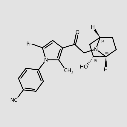 Cc1c(C(=O)CN2[C@H]3CC[C@@H]2[C@H](O)C3)cc(C(C)C)n1-c1ccc(C#N)cc1